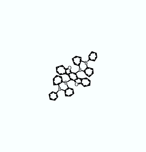 c1ccc(B2c3ccccc3B(c3c4oc5ccccc5c4c(B4c5ccccc5B(c5ccccc5)c5ccccc54)c4oc5ccccc5c34)c3ccccc32)cc1